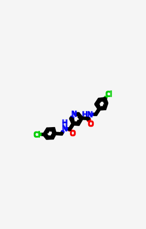 O=C(NCc1ccc(Cl)cc1)c1cncc(C(=O)NCc2ccc(Cl)cc2)c1